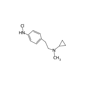 CN(CCc1ccc(NCl)cc1)C1CC1